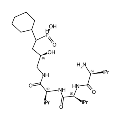 CC(C)[C@H](N)C(=O)N[C@H](C(=O)N[C@H](C(=O)NC[C@H](O)CC(C1CCCCC1)[PH](=O)O)C(C)C)C(C)C